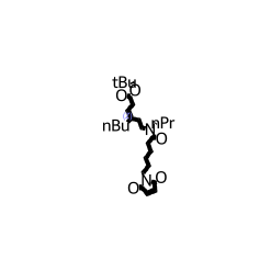 CCCC/C(=C/CC(=O)OC(C)(C)C)CCN(CCC)C(=O)CCCCCN1C(=O)C=CC1=O